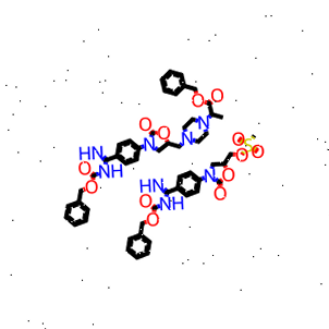 CC(C(=O)OCc1ccccc1)N1CCN(CC2CN(c3ccc(C(=N)NC(=O)OCc4ccccc4)cc3)C(=O)O2)CC1.CS(=O)(=O)OCC1CN(c2ccc(C(=N)NC(=O)OCc3ccccc3)cc2)C(=O)O1